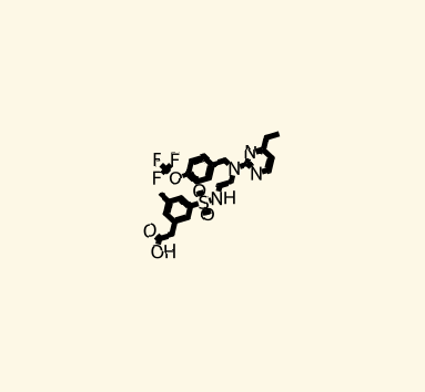 CCc1ccnc(N(CCNS(=O)(=O)c2cc(C)cc(CC(=O)O)c2)Cc2ccc(OC(F)(F)F)cc2)n1